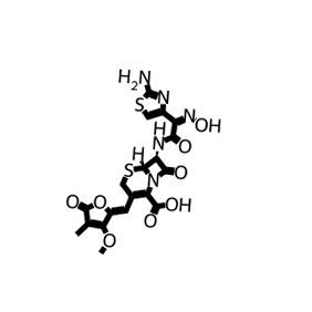 COC1=C(C)C(=O)O/C1=C\C1=C(C(=O)O)N2C(=O)[C@@H](NC(=O)/C(=N\O)c3csc(N)n3)[C@H]2SC1